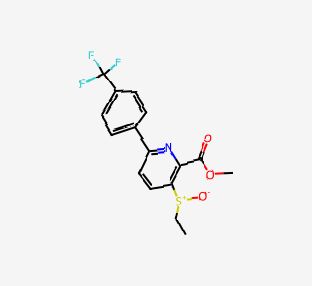 CC[S+]([O-])c1ccc(-c2ccc(C(F)(F)F)cc2)nc1C(=O)OC